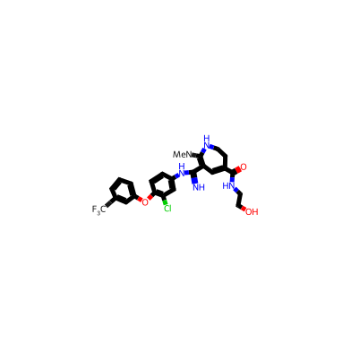 CNC1=C(C(=N)Nc2ccc(Oc3cccc(C(F)(F)F)c3)c(Cl)c2)C=C(C(=O)NCCO)CCN1